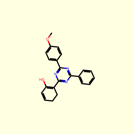 COc1ccc(-c2nc(C3=C(O)C=CCC3)nc(-c3ccccc3)n2)cc1